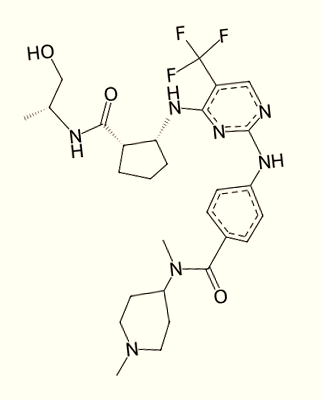 C[C@H](CO)NC(=O)[C@H]1CCC[C@H]1Nc1nc(Nc2ccc(C(=O)N(C)C3CCN(C)CC3)cc2)ncc1C(F)(F)F